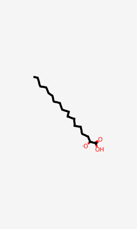 CCCCCCCCCCCCCCCCC([O])C(=O)O